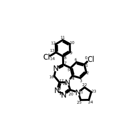 Clc1ccc2c(c1)C(c1ccccc1Cl)=NCc1nnc(N3CCCC3)n1-2